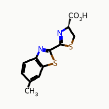 Cc1ccc2nc(C3=N[C@@H](C(=O)O)CS3)sc2c1